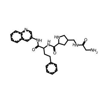 NCC(=O)NCC1CNC(C(=O)NC(CCc2ccccc2)C(=O)Nc2cnc3ccccc3c2)C1